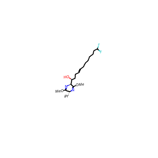 COC1=N[C@H](C(C)C)C(OC)=N[C@H]1[C@@H](O)CCC=CCCCCCCC(F)F